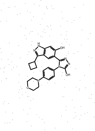 Oc1cc2[nH]nc(C3CCC3)c2cc1-c1nnc(O)n1-c1ccc(N2CCOCC2)cc1